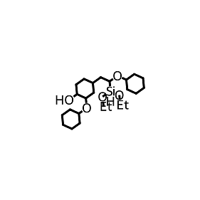 CCO[SiH](OCC)C(CC1CCC(O)C(OC2CCCCC2)C1)OC1CCCCC1